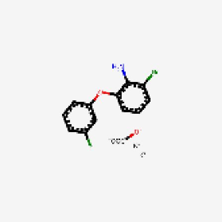 Nc1c(Br)cccc1Oc1cccc(Cl)c1.O=C([O-])[O-].[K+].[K+]